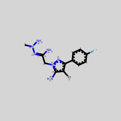 CCc1c(-c2ccc(F)cc2)nn(C/C(N)=N/N(C)N)c1N